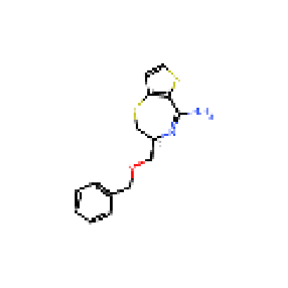 NC1=N[C@@H](COCc2ccccc2)CSc2ccsc21